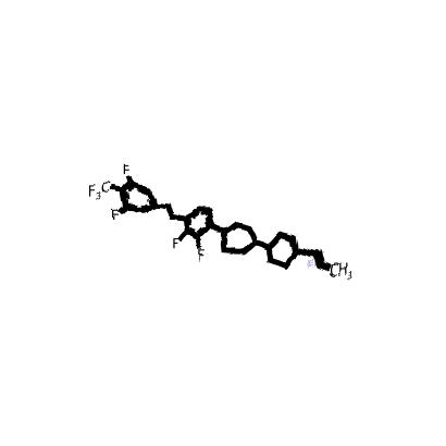 C/C=C/C1CCC(C2CCC(c3ccc(CCc4cc(F)c(C(F)(F)F)c(F)c4)c(F)c3F)CC2)CC1